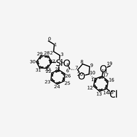 CCCC[Si](OC[C@@H]1CC[C@H](c2ccc(Cl)cc2OC)O1)(c1ccccc1)c1ccccc1